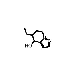 CCC1CCn2nccc2C1O